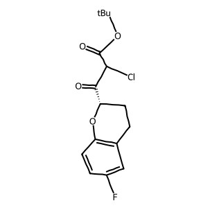 CC(C)(C)OC(=O)C(Cl)C(=O)[C@@H]1CCc2cc(F)ccc2O1